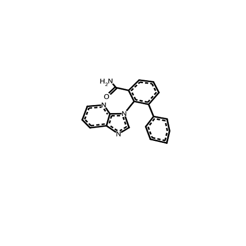 NC(=O)c1cccc(-c2ccccc2)c1-n1cnc2cccnc21